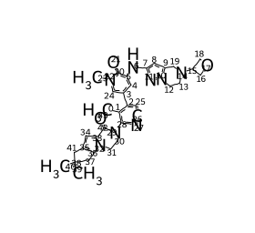 Cc1c(-c2cc(Nc3cc4n(n3)CCN(C3COC3)C4)c(=O)n(C)c2)ccnc1N1CCn2c(cc3c2CC(C)(C)C3)C1=O